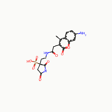 Cc1c(CC(=O)NCCC2(S(=O)(=O)O)CC(=O)[N]C2=O)c(=O)oc2cc(N)ccc12